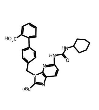 CCCCc1nc2ccc(NC(=O)NC3CCCCC3)nc2n1Cc1ccc(-c2ccccc2C(=O)O)cc1